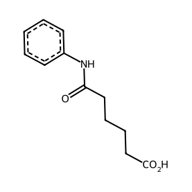 O=C(O)CCCCC(=O)Nc1ccccc1